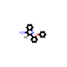 N#Cc1c(-c2ccccc2Oc2ccccc2)nc2ccccc2c1N